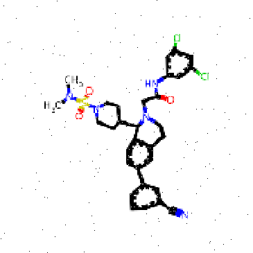 CN(C)S(=O)(=O)N1CCC(C2c3ccc(-c4cccc(C#N)c4)cc3CCN2CC(=O)Nc2cc(Cl)cc(Cl)c2)CC1